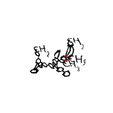 C=Cc1ccc(C2CC=C3C(C2)C2C=C(C4=CCC(N(C5=CCC6C7=C(CCC=C7)C(CC(C)CCC(C)COC7=CCC(C=C)C=C7)(c7ccccc7)C6C5)C5C=CC(C6=CCCC=C6)CC5)C=C4)C=CC2N3c2ccccc2)cc1